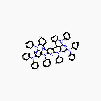 c1ccc(N(c2ccccc2)c2cc3c4c(n2)N(c2ccccc2)c2ccccc2B4c2cc4c(nc2N3c2ccccc2)N(c2ccccc2)c2cc(N(c3ccccc3)c3ccccc3)nc3c2N4c2ccccc2N3c2ccccc2)cc1